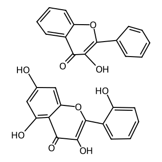 O=c1c(O)c(-c2ccccc2)oc2ccccc12.O=c1c(O)c(-c2ccccc2O)oc2cc(O)cc(O)c12